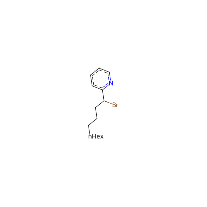 CCCCCCCCCC(Br)c1ccccn1